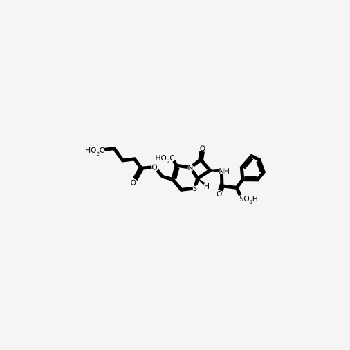 O=C(O)CCCC(=O)OCC1=C(C(=O)O)N2C(=O)[C@@H](NC(=O)C(c3ccccc3)S(=O)(=O)O)[C@@H]2SC1